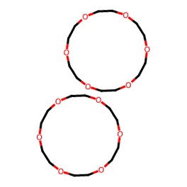 C1COCCOCCOCCOCCOCCO1.C1COCCOCCOCCOCCOCCO1